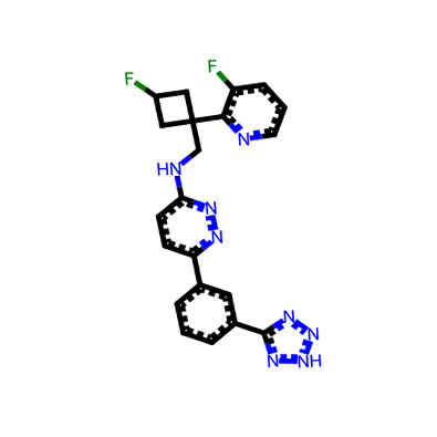 Fc1cccnc1C1(CNc2ccc(-c3cccc(-c4nn[nH]n4)c3)nn2)CC(F)C1